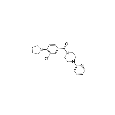 O=C(c1ccc(N2CCCC2)c(Cl)c1)N1CCN(c2ccccn2)CC1